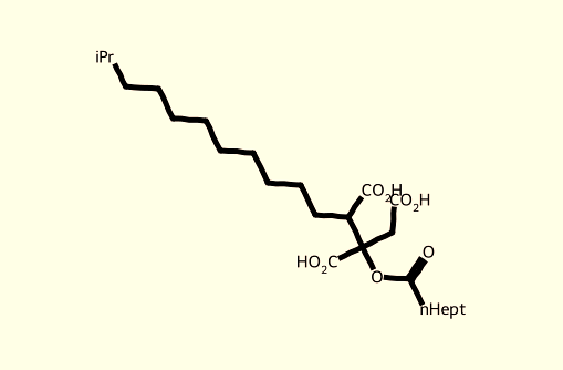 CCCCCCCC(=O)OC(CC(=O)O)(C(=O)O)C(CCCCCCCCCC(C)C)C(=O)O